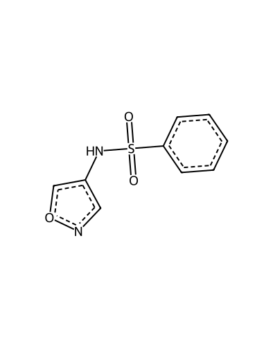 O=S(=O)(Nc1cnoc1)c1ccccc1